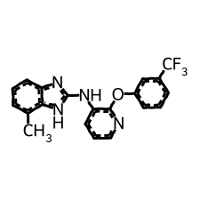 Cc1cccc2nc(Nc3cccnc3Oc3cccc(C(F)(F)F)c3)[nH]c12